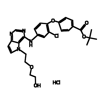 CC(C)(C)OC(=O)c1ccc(Oc2ccc(Nc3ncnc4ccn(CCOCCO)c34)cc2Cl)cc1.Cl